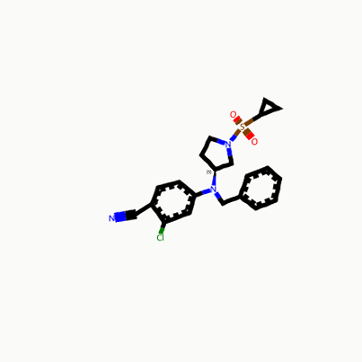 N#Cc1ccc(N(Cc2ccccc2)[C@H]2CCN(S(=O)(=O)C3CC3)C2)cc1Cl